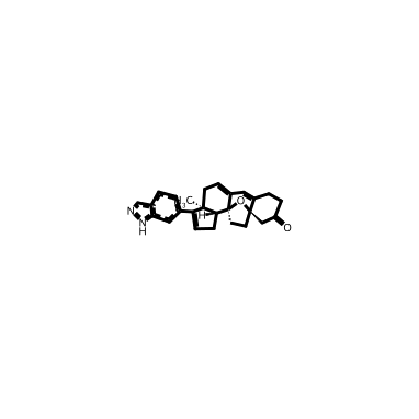 C[C@]12CC=C3C=C4CCC(=O)C[C@]45CC[C@]3(O5)[C@@H]1CC=C2c1ccc2cn[nH]c2c1